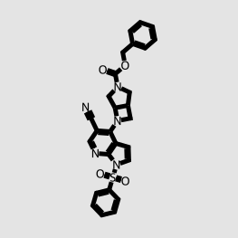 N#Cc1cnc2c(ccn2S(=O)(=O)c2ccccc2)c1N1CC2CN(C(=O)OCc3ccccc3)CC21